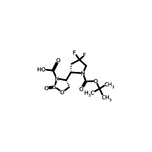 CC(C)(C)OC(=O)N1CC(F)(F)C[C@H]1[C@@H]1COS(=O)N1C(=O)O